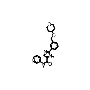 CN(C(=O)c1cnc(-c2cccc(COC3CCOCC3)c2)n1C)c1cccnc1